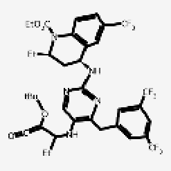 CCOC(=O)N1c2ccc(C(F)(F)F)cc2[C@@H](Nc2ncc(NC(CC)C(=C=O)OC(C)(C)C)c(Cc3cc(C(F)(F)F)cc(C(F)(F)F)c3)n2)C[C@H]1CC